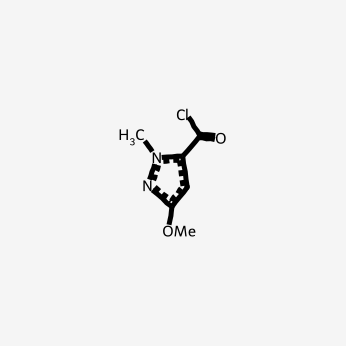 COc1cc(C(=O)Cl)n(C)n1